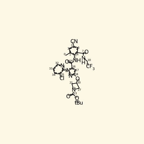 Cc1cc(C#N)cc(C(=O)NCC(F)(F)F)c1NC(=O)c1cc(OC2CN(C(=O)OC(C)(C)C)C2)nn1-c1ncccc1Cl